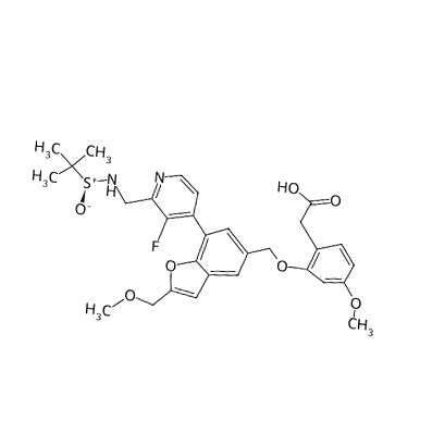 COCc1cc2cc(COc3cc(OC)ccc3CC(=O)O)cc(-c3ccnc(CN[S@@+]([O-])C(C)(C)C)c3F)c2o1